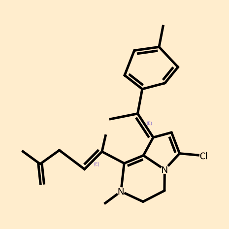 C=C(C)C/C=C(\C)C1=c2/c(=C(\C)c3ccc(C)cc3)cc(Cl)n2CCN1C